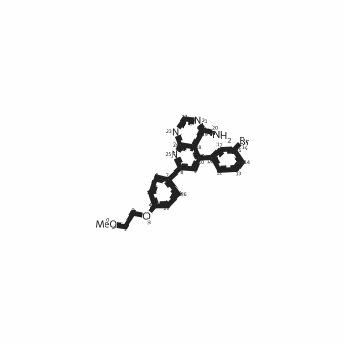 COCCOc1ccc(-c2cc(-c3cccc(Br)c3)c3c(N)ncnc3n2)cc1